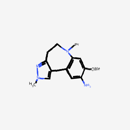 COc1cc2c(cc1N)-c1cn(C)nc1CCN2C(C)C